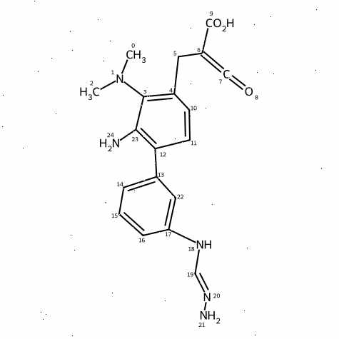 CN(C)c1c(CC(=C=O)C(=O)O)ccc(-c2cccc(NC=NN)c2)c1N